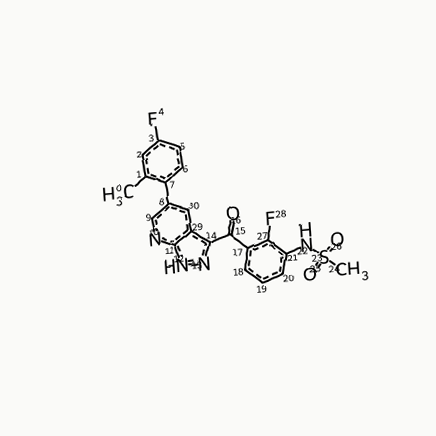 Cc1cc(F)ccc1-c1cnc2[nH]nc(C(=O)c3cccc(NS(C)(=O)=O)c3F)c2c1